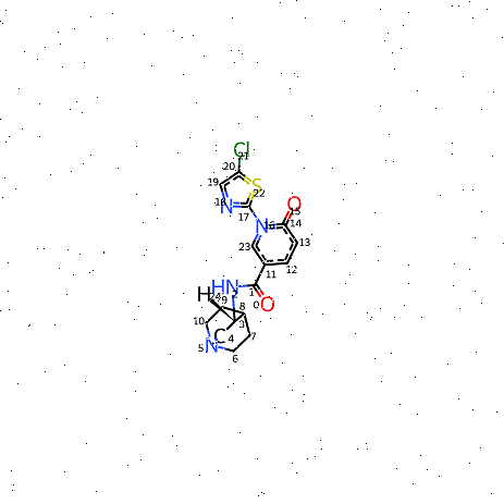 O=C(N[C@H]1CN2CCC1CC2)c1ccc(=O)n(-c2ncc(Cl)s2)c1